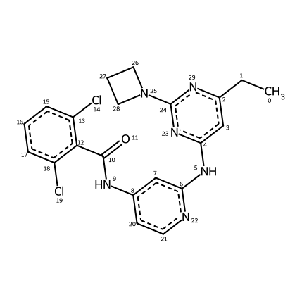 CCc1cc(Nc2cc(NC(=O)c3c(Cl)cccc3Cl)ccn2)nc(N2CCC2)n1